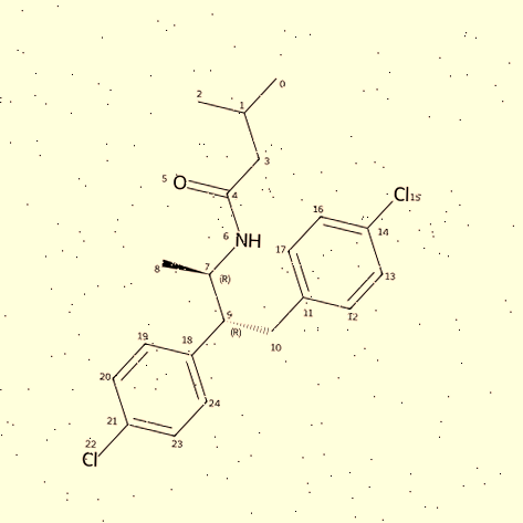 CC(C)CC(=O)N[C@H](C)[C@H](Cc1ccc(Cl)cc1)c1ccc(Cl)cc1